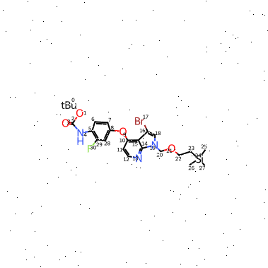 CC(C)(C)OC(=O)Nc1ccc(Oc2ccnc3c2c(Br)cn3COCC[Si](C)(C)C)cc1F